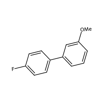 COc1cccc(-c2ccc(F)cc2)c1